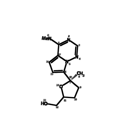 CNc1ncnn2c([C@@]3(C)CCC(CO)O3)ccc12